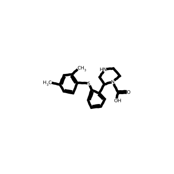 Cc1ccc(Sc2ccccc2C2CNCCN2C(=O)O)c(C)c1